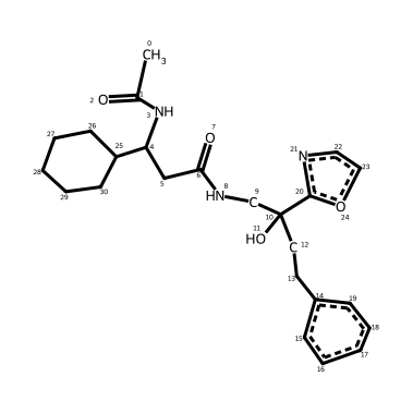 CC(=O)NC(CC(=O)NCC(O)(CCc1ccccc1)c1ncco1)C1CCCCC1